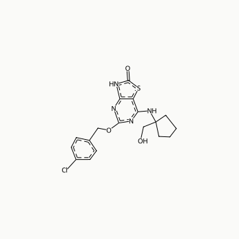 O=c1[nH]c2nc(OCc3ccc(Cl)cc3)nc(NC3(CO)CCCC3)c2s1